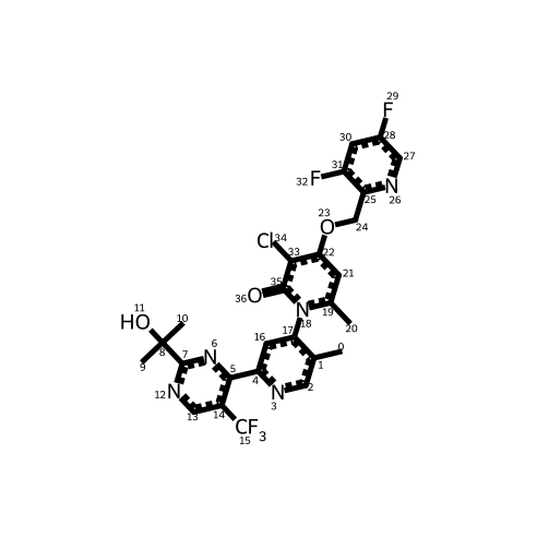 Cc1cnc(-c2nc(C(C)(C)O)ncc2C(F)(F)F)cc1-n1c(C)cc(OCc2ncc(F)cc2F)c(Cl)c1=O